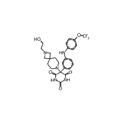 O=C1NC(=O)C(c2cccc(Nc3ccc(OC(F)(F)F)cc3)c2)(N2CCC3(CC2)CN(CCO)C3)C(=O)N1